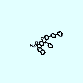 CC1(C)c2cc3c(cc2-c2c1ccc1ccccc21)N(c1ccccc1)c1cc(-c2ccc(-c4ccccc4)cc2)ccc1O3